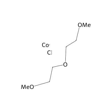 COCCOCCOC.[C].[Co]